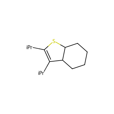 CC(C)C1=C(C(C)C)C2CCCCC2S1